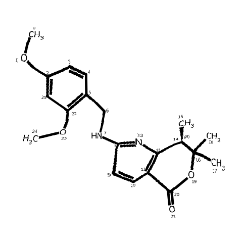 COc1ccc(CNc2ccc3c(n2)[C@@H](C)C(C)(C)OC3=O)c(OC)c1